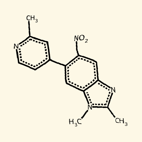 Cc1cc(-c2cc3c(cc2[N+](=O)[O-])nc(C)n3C)ccn1